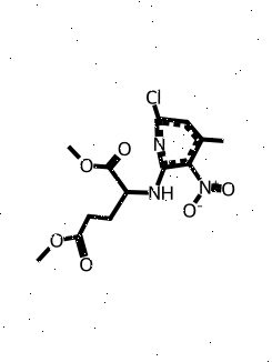 COC(=O)CCC(Nc1nc(Cl)cc(C)c1[N+](=O)[O-])C(=O)OC